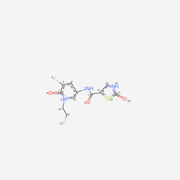 O=C(Nc1cc(F)c(=O)n(CCF)c1)c1c[nH]c(=O)s1